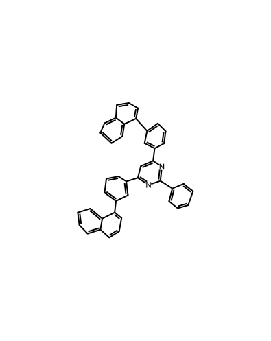 c1ccc(-c2nc(-c3cccc(-c4cccc5ccccc45)c3)cc(-c3cccc(-c4cccc5ccccc45)c3)n2)cc1